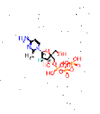 C=C1N=C(N)C=CN1[C@@H]1O[C@](CO)(COP(=O)(O)OP(=O)(O)OP(=O)(O)O)[C@@H](O)[C@H]1F